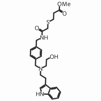 COC(=O)CCSCC(=O)NCc1ccc(CN(CCO)CCc2c[nH]c3ccccc23)cc1